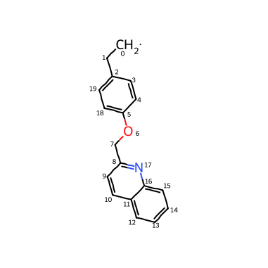 [CH2]Cc1ccc(OCc2ccc3ccccc3n2)cc1